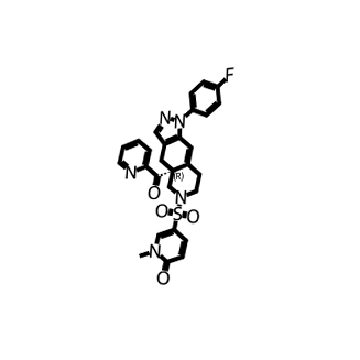 Cn1cc(S(=O)(=O)N2CCC3=Cc4c(cnn4-c4ccc(F)cc4)C[C@]3(C(=O)c3ccccn3)C2)ccc1=O